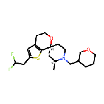 C[C@H]1C[C@@]2(CCN1CC1CCCOC1)OCCc1cc(CC(F)F)sc12